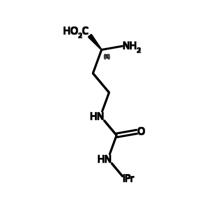 CC(C)NC(=O)NCC[C@H](N)C(=O)O